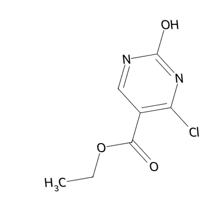 CCOC(=O)c1cnc(O)nc1Cl